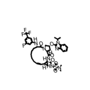 CC(C)n1c(O[C@@H]2C[C@H]3C(=O)N[C@]4(C(=O)NS(=O)(=O)N(C)C)C[C@H]4/C=C\CCCCC[C@H](Nc4cc(F)cc(C(F)(F)F)c4)C(=O)N3C2)nc2ccccc21